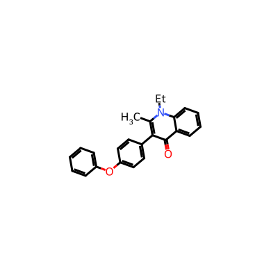 CCn1c(C)c(-c2ccc(Oc3ccccc3)cc2)c(=O)c2ccccc21